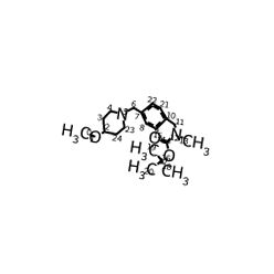 COC1CCN(Cc2ccc(CN(C)C(=O)OC(C)(C)C)cc2)CC1